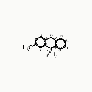 Cc1ccc2c(c1)N(C)c1ccccc1C2